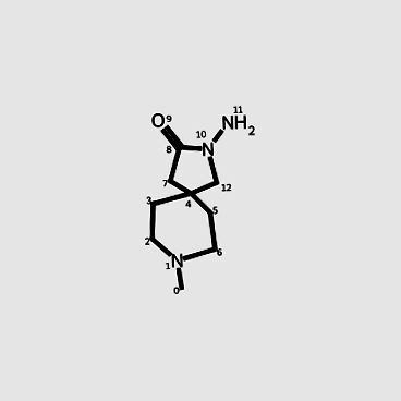 CN1CCC2(CC1)CC(=O)N(N)C2